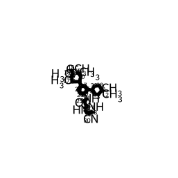 CC1(C)CC=C(c2cc(C3CC(C)(C)[S+]([O-])C(C)(C)C3)ccc2NC(=O)C2NC=C(C#N)N2)CC1